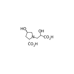 O=C(O)C(O)CN1C[C@H](O)C[C@H]1C(=O)O